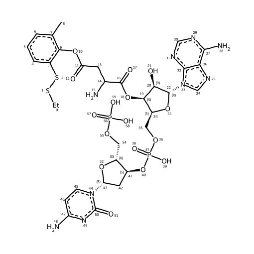 CCSSc1cccc(C)c1OC(=O)CC(N)C(=O)O[C@H]1[C@@H](O)[C@H](n2cnc3c(N)ncnc32)O[C@H]1COP(=O)(O)O[C@H]1C[C@H](n2ccc(N)nc2=O)O[C@@H]1COP(=O)(O)O